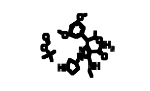 CC(C)(C)OC=O.CCNc1c(C(N)=O)c(C(C(C)=O)c2cc(OC)cc(OC)c2)nn1C1CCNC1